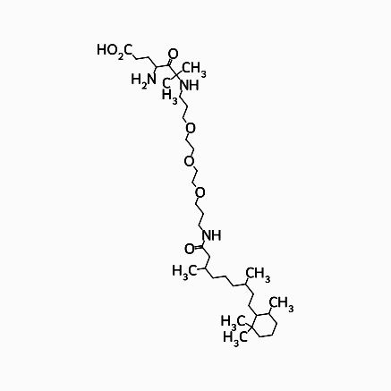 CC(CCCC(C)CC(=O)NCCCOCCOCCOCCCNC(C)(C)C(=O)C(N)CCC(=O)O)CCC1C(C)CCCC1(C)C